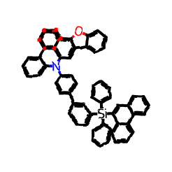 c1ccc(-c2ccccc2N(c2ccc(-c3cccc([Si](c4ccccc4)(c4ccccc4)c4cc5ccccc5c5ccccc45)c3)cc2)c2cc3c4ccccc4oc3c3ccccc23)cc1